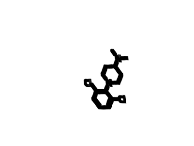 CN(C)C1CCN(c2c(Cl)cccc2Cl)CC1